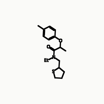 CCN(CC1CCCS1)C(=O)C(C)Oc1ccc(C)cc1